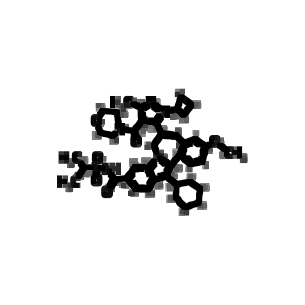 COc1ccc2c(c1)C=C(c1c(C(=O)N3CCOCC3)c(C)nn1C1CCC1)Cn1c-2c(C2CCCCC2)c2ccc(C(=O)NS(=O)(=O)C(C)C)cc21